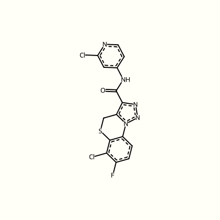 O=C(Nc1ccnc(Cl)c1)c1nnn2c1CSc1c-2ccc(F)c1Cl